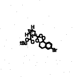 CC(C)(C)OC(=O)N1[C@@H]2C[C@@H]2C[C@H]1C(=O)OC1CCc2cc(Br)ccc2C1=O